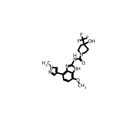 COc1ccc(-c2cnn(C)c2)c2nc(NC(=O)N3CCC(O)(C(F)(F)F)CC3)[nH]c12